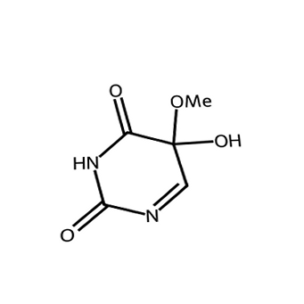 COC1(O)C=NC(=O)NC1=O